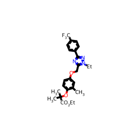 CCOC(=O)C(C)(C)Oc1ccc(OCc2nc(-c3ccc(C(F)(F)F)cc3)nn2CC)cc1C